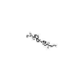 CC(C)CNC(=O)c1ccnc2c(SSc3cccc4c(C(=O)NCC(C)C)ccnc34)cccc12